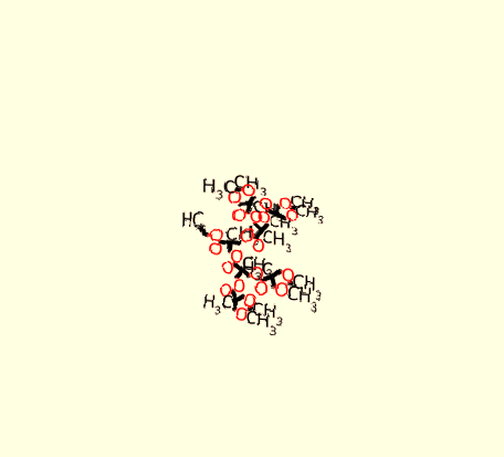 C#CCOC(=O)C(C)(COC(=O)C(C)(COC(=O)C1(C)COC(C)(C)OC1)COC(=O)C1(C)COC(C)(C)OC1)COC(=O)C(C)(COC(=O)C1(C)COC(C)(C)OC1)COC(=O)C1(C)COC(C)(C)OC1